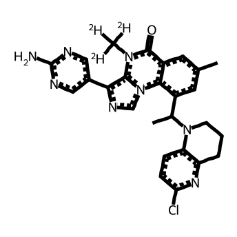 [2H]C([2H])([2H])n1c(=O)c2cc(C)cc(C(C)N3CCCc4nc(Cl)ccc43)c2n2cnc(-c3cnc(N)nc3)c12